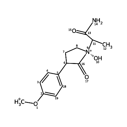 COc1ccc(C2CC[N@@+](O)(C(C)C(N)=O)C2=O)cc1